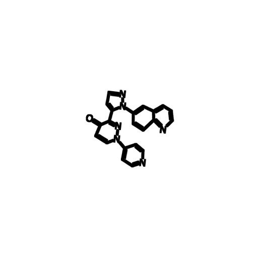 O=c1ccn(-c2ccncc2)nc1-c1ccnn1-c1ccc2ncccc2c1